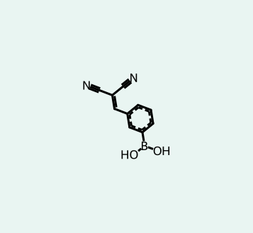 N#CC(C#N)=Cc1cccc(B(O)O)c1